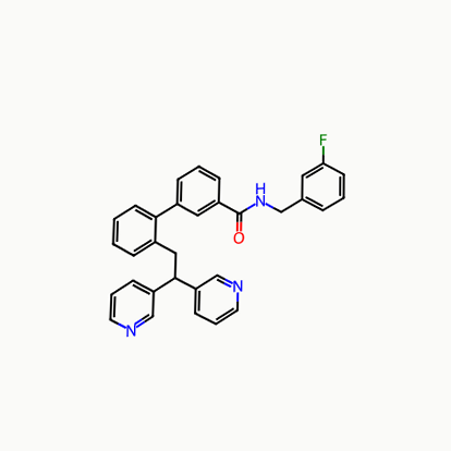 O=C(NCc1cccc(F)c1)c1cccc(-c2ccccc2CC(c2cccnc2)c2cccnc2)c1